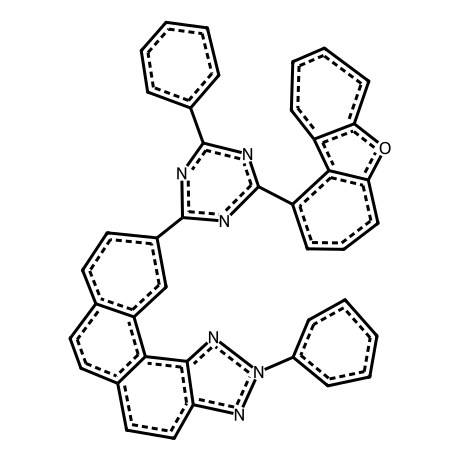 c1ccc(-c2nc(-c3ccc4ccc5ccc6nn(-c7ccccc7)nc6c5c4c3)nc(-c3cccc4oc5ccccc5c34)n2)cc1